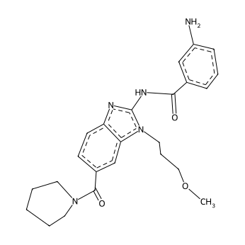 COCCCn1c(NC(=O)c2cccc(N)c2)nc2ccc(C(=O)N3CCCCC3)cc21